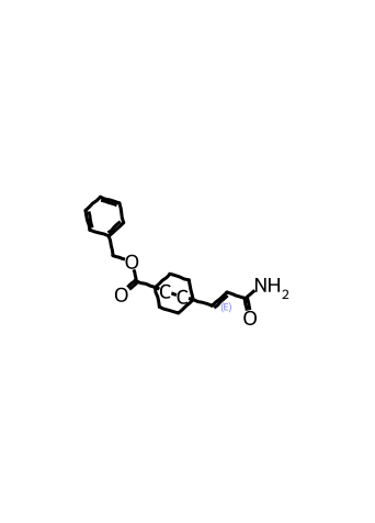 NC(=O)/C=C/C12CCC(C(=O)OCc3ccccc3)(CC1)CC2